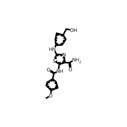 COc1ccc(C(=O)Nc2sc(Nc3ccc(CO)cc3)nc2C(N)=O)cc1